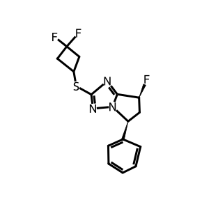 F[C@H]1C[C@@H](c2ccccc2)n2nc(SC3CC(F)(F)C3)nc21